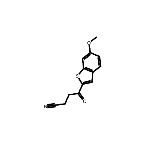 COc1ccc2cc(C(=O)CCC#N)sc2c1